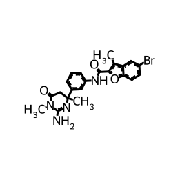 Cc1c(C(=O)Nc2cccc(C3(C)CC(=O)N(C)C(N)=N3)c2)oc2ccc(Br)cc12